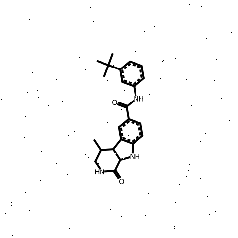 CC1CNC(=O)C2Nc3ccc(C(=O)Nc4cccc(C(C)(C)C)c4)cc3C12